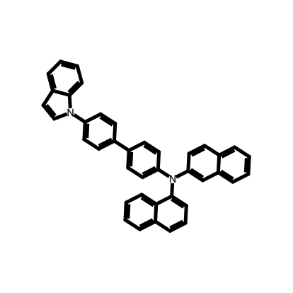 c1ccc2cc(N(c3ccc(-c4ccc(-n5ccc6ccccc65)cc4)cc3)c3cccc4ccccc34)ccc2c1